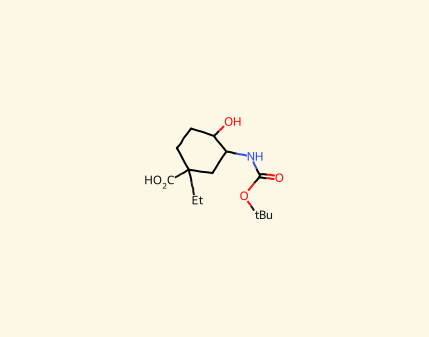 CCC1(C(=O)O)CCC(O)C(NC(=O)OC(C)(C)C)C1